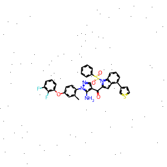 Cc1cc(Oc2cccc(F)c2F)ccc1-n1ncc(C(=O)c2cc3c(-c4ccsc4)cccc3n2S(=O)(=O)c2ccccc2)c1N